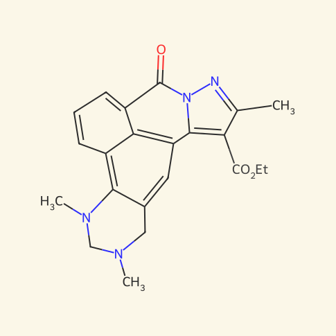 CCOC(=O)c1c(C)nn2c(=O)c3cccc4c5c(cc(c43)c12)CN(C)CN5C